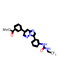 COC(=O)c1cccc(-c2cnn3c(-c4cccc(NC(=O)NCC(F)(F)F)c4)cnc3c2)c1